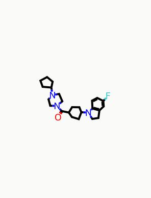 O=C(C1CCC(N2CCc3cc(F)ccc32)CC1)N1CCN(C2CCCC2)CC1